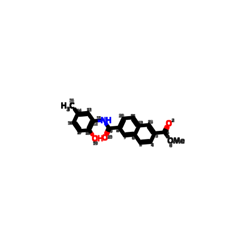 COC(=O)c1ccc2cc(C(=O)Nc3cc(C)ccc3O)ccc2c1